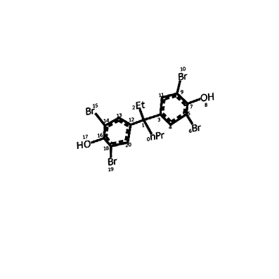 CCCC(CC)(c1cc(Br)c(O)c(Br)c1)c1cc(Br)c(O)c(Br)c1